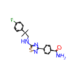 CC(C)(CNc1nc(-c2ccc(C(N)=O)cc2)ns1)c1ccc(F)cc1